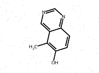 Cc1c(O)ccc2ncncc12